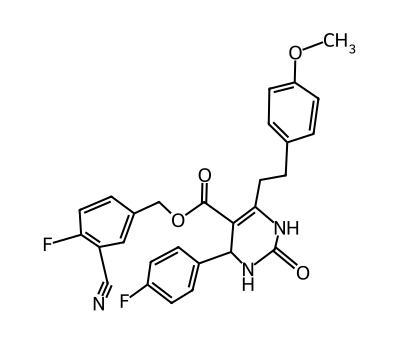 COc1ccc(CCC2=C(C(=O)OCc3ccc(F)c(C#N)c3)C(c3ccc(F)cc3)NC(=O)N2)cc1